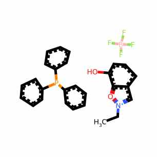 CC[n+]1cc2cccc(O)c2o1.F[B-](F)(F)F.c1ccc(P(c2ccccc2)c2ccccc2)cc1